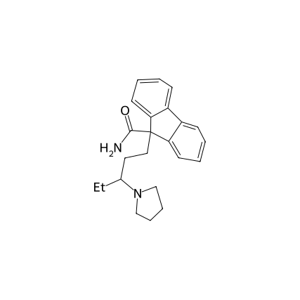 CCC(CCC1(C(N)=O)c2ccccc2-c2ccccc21)N1CCCC1